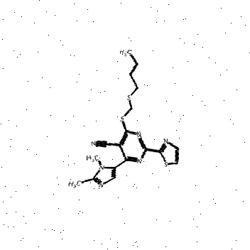 CCCCSCSc1nc(-c2nccs2)nc(-c2cnc(C)n2C)c1C#N